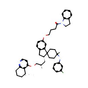 C[C@@H](COc1ccnc2c1[C@H](C)CCC2)C[C@H]1Cc2ccc(OCCCC(=O)N3CCc4ccccc43)cc2C12CCC(Nc1cccc(Cl)c1)(C(=O)O)CC2